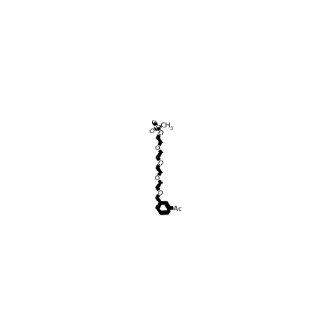 CC(=O)c1cccc(COCCOCCOCCOCCOS(C)(=O)=O)c1